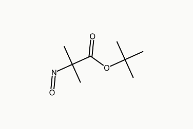 CC(C)(C)OC(=O)C(C)(C)N=O